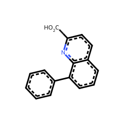 O=C(O)c1ccc2cccc(-c3ccccc3)c2n1